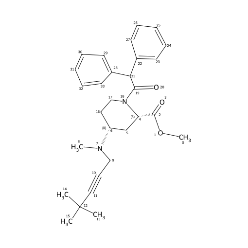 COC(=O)[C@@H]1C[C@H](N(C)CC#CC(C)(C)C)CCN1C(=O)C(c1ccccc1)c1ccccc1